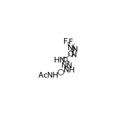 CC(=O)N[C@H]1CC[C@@H](Nc2ncc3c(-c4cnc5nc(C)n(CC(F)F)c5c4)c[nH]c3n2)CC1